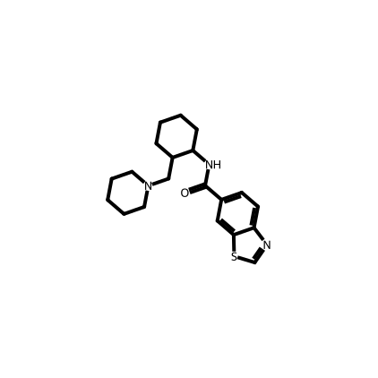 O=C(NC1CCCCC1CN1CCCCC1)c1ccc2ncsc2c1